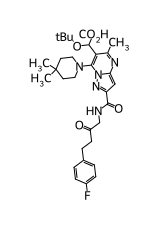 Cc1nc2cc(C(=O)NCC(=O)CCc3ccc(F)cc3)nn2c(N2CCC(C)(C)CC2)c1C(OC(C)(C)C)C(=O)O